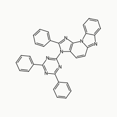 c1ccc(-c2nc(-c3ccccc3)nc(-n3c(-c4ccccc4)nc4c3ccc3nc5ccccc5n34)n2)cc1